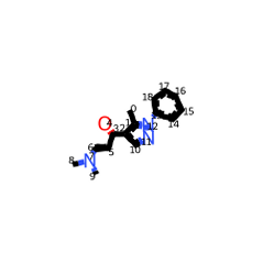 Cc1c(C(=O)C=CN(C)C)cnn1-c1ccccc1